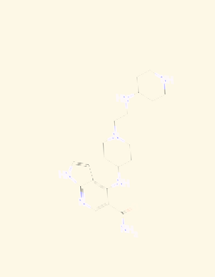 NC(=O)c1cnc2[nH]ccc2c1NC1CCN(CCNC2CCNCC2)CC1